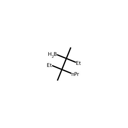 BC(C)(CC)C(C)(CC)CCC